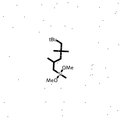 CO[Si](C)(CC(C)CC(C)(C)CC(C)(C)C)OC